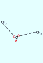 CCCCCCCCCCCCCCCCCOc1cc(C=O)cc(OCCCCCCCCCCCCCCCCC)c1